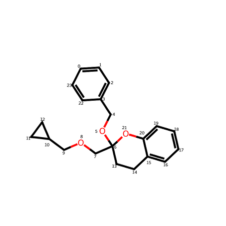 c1ccc(COC2(COCC3CC3)CCc3ccccc3O2)cc1